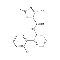 CCc1ccccc1-c1ccccc1NC(=O)c1cn(C)nc1C(F)(F)F